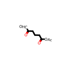 CC(=O)OC(=O)CCCC(=O)C=O